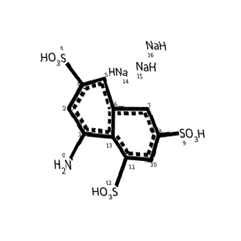 Nc1cc(S(=O)(=O)O)cc2cc(S(=O)(=O)O)cc(S(=O)(=O)O)c12.[NaH].[NaH].[NaH]